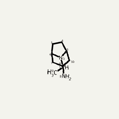 CPN1C2CCC1CC(N)C2